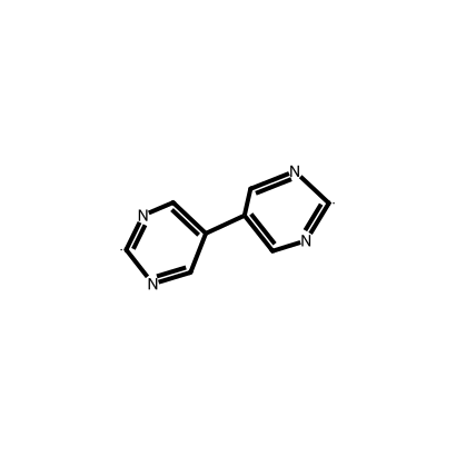 [c]1ncc(-c2cn[c]nc2)cn1